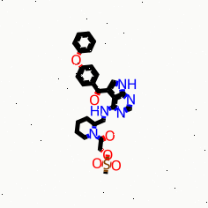 CS(=O)(=O)OCC(=O)N1CCCCC1CNc1ncnc2[nH]cc(C(=O)c3ccc(Oc4ccccc4)cc3)c12